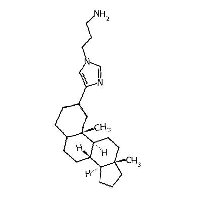 C[C@@]12CCC[C@H]1[C@@H]1CCC3CCC(c4cn(CCCN)cn4)C[C@]3(C)[C@H]1CC2